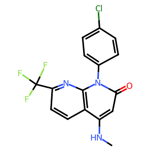 CNc1cc(=O)n(-c2ccc(Cl)cc2)c2nc(C(F)(F)F)ccc12